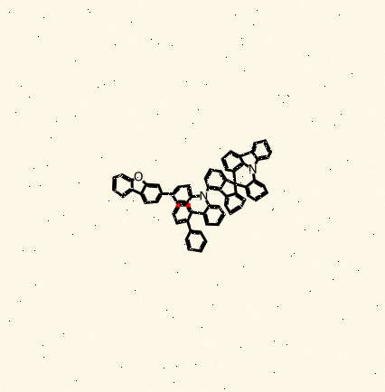 c1ccc(-c2ccccc2-c2ccccc2N(c2ccc(-c3ccc4c(c3)oc3ccccc34)cc2)c2cccc3c2-c2ccccc2C32c3ccccc3-n3c4ccccc4c4cccc2c43)cc1